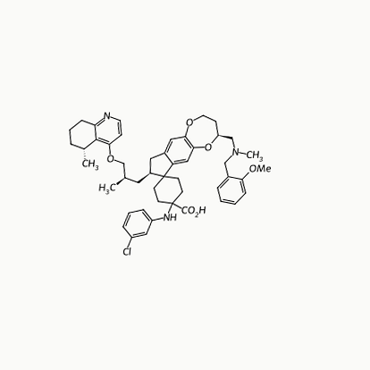 COc1ccccc1CN(C)C[C@@H]1CCOc2cc3c(cc2O1)C1(CCC(Nc2cccc(Cl)c2)(C(=O)O)CC1)[C@@H](C[C@@H](C)COc1ccnc2c1[C@H](C)CCC2)C3